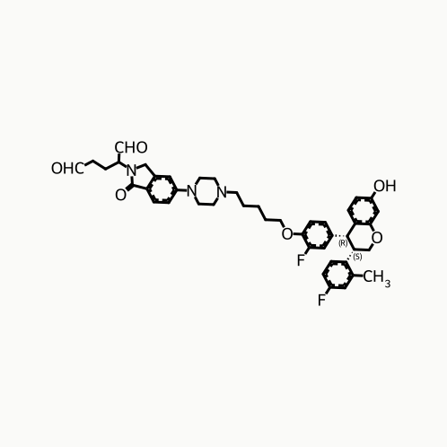 Cc1cc(F)ccc1[C@H]1COc2cc(O)ccc2[C@H]1c1ccc(OCCCCCN2CCN(c3ccc4c(c3)CN(C(C=O)CCC=O)C4=O)CC2)c(F)c1